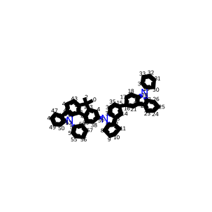 CC1(C)c2cc(-n3c4ccccc4c4cc(-c5ccc6c(c5)c5ccccc5n6-c5ccccc5)ccc43)ccc2-c2c1ccc1c3ccccc3n(-c3ccccc3)c21